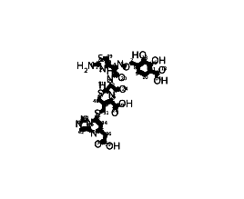 Nc1nc(/C(=N/OCc2ccc(C(=O)O)c(O)c2O)C(=O)N[C@@H]2C(=O)N3C(C(=O)O)=C(CSc4cc(CC(=O)O)nc5cnnn45)CS[C@H]23)cs1